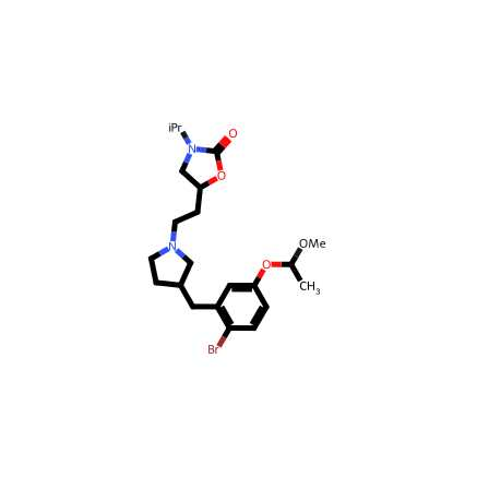 COC(C)Oc1ccc(Br)c(CC2CCN(CCC3CN(C(C)C)C(=O)O3)C2)c1